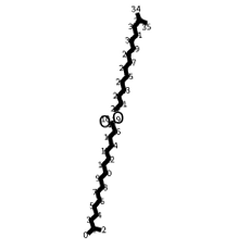 CC(C)CCCCCCCCCCCCCCC(=O)OCCCCCCCCCCCCCC(C)C